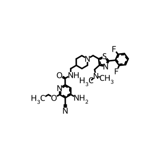 CCOc1nc(C(=O)NCC2CCN(Cc3sc(-c4c(F)cccc4F)nc3CN(C)C)CC2)cc(N)c1C#N